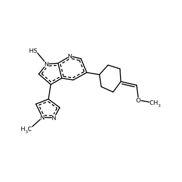 COC=C1CCC(c2cnc3c(c2)c(-c2cnn(C)c2)cn3S)CC1